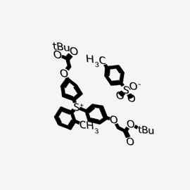 Cc1ccc(S(=O)(=O)[O-])cc1.Cc1ccccc1[S+](c1ccc(OCC(=O)OC(C)(C)C)cc1)c1ccc(OCC(=O)OC(C)(C)C)cc1